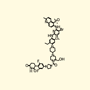 CCc1cc(Nc2ncc(Br)c(Nc3ccc4nc(C)ccc4c3P(C)(C)=O)n2)c(OC)cc1N1CCC(N2CCN(C(=O)[C@@H]3CCN(c4cc(F)c(C5CCC(=O)NC5=O)c(F)c4)C3)[C@H](CO)C2)CC1